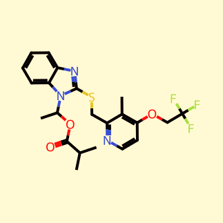 Cc1c(OCC(F)(F)F)ccnc1CSc1nc2ccccc2n1C(C)OC(=O)C(C)C